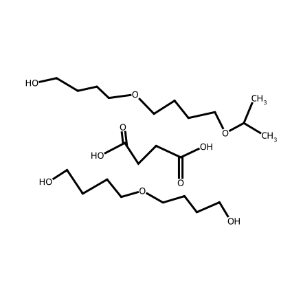 CC(C)OCCCCOCCCCO.O=C(O)CCC(=O)O.OCCCCOCCCCO